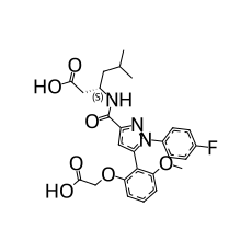 COc1cccc(OCC(=O)O)c1-c1cc(C(=O)N[C@H](CC(=O)O)CC(C)C)nn1-c1ccc(F)cc1